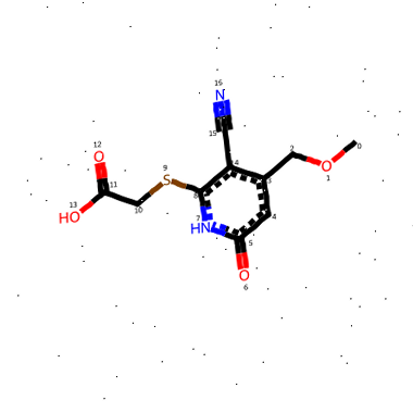 COCc1cc(=O)[nH]c(SCC(=O)O)c1C#N